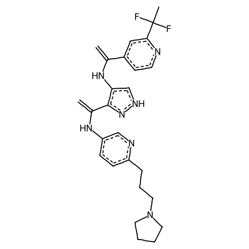 C=C(Nc1c[nH]nc1C(=C)Nc1ccc(CCCN2CCCC2)nc1)c1ccnc(C(C)(F)F)c1